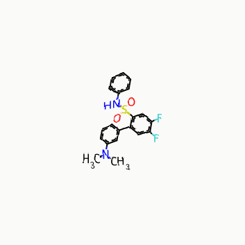 CN(C)c1cccc(-c2cc(F)c(F)cc2S(=O)(=O)Nc2ccccc2)c1